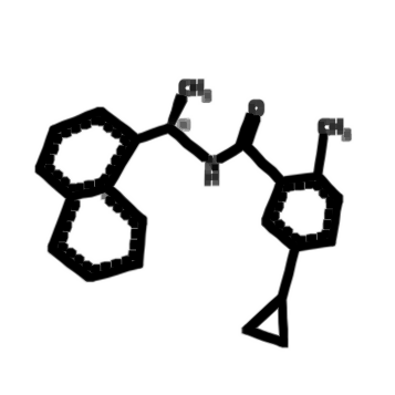 Cc1ccc(C2CC2)cc1C(=O)N[C@H](C)c1cccc2ccccc12